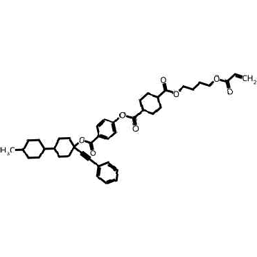 C=CC(=O)OCCCCOC(=O)C1CCC(C(=O)Oc2ccc(C(=O)OC3(C#Cc4ccccc4)CCC(C4CCC(C)CC4)CC3)cc2)CC1